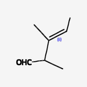 C/C=C(\C)C(C)C=O